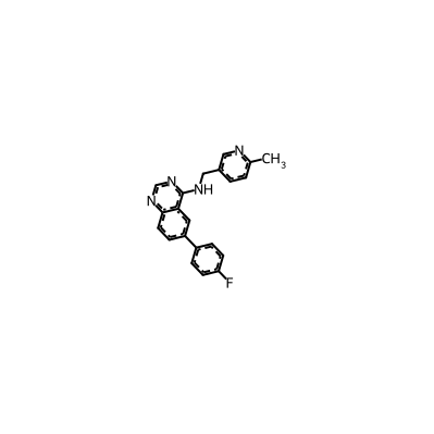 Cc1ccc(CNc2ncnc3ccc(-c4ccc(F)cc4)cc23)cn1